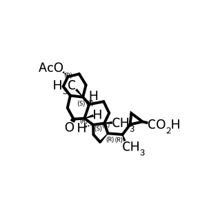 CC(=O)O[C@@H]1CC[C@@]2(C)C(CC(=O)[C@H]3[C@@H]4CC[C@H]([C@H](C)C5CC5C(=O)O)[C@@]4(C)CC[C@@H]32)C1